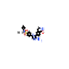 CN(C1CCC1)S(=O)(=O)c1ccc(-c2cnc(N)c(-c3ccc4c(c3)CCNC4=O)n2)cc1